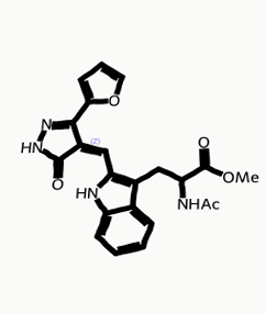 COC(=O)C(Cc1c(/C=C2\C(=O)NN=C2c2ccco2)[nH]c2ccccc12)NC(C)=O